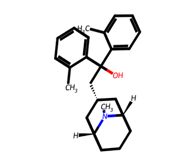 Cc1ccccc1C(O)(C[C@H]1C[C@H]2CCC[C@@H](C1)N2C)c1ccccc1C